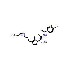 C=C(N/C(C)=C(/C1C=CC(CCC/N=C\CC(F)(F)F)=C1C)[C@H](C)CC)c1ccc(CC)nc1